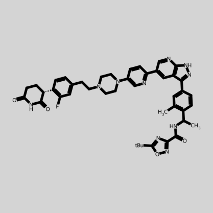 Cc1cc(-c2n[nH]c3ncc(-c4ccc(N5CCN(CCc6ccc([C@H]7CCC(=O)NC7=O)c(F)c6)CC5)cn4)cc23)ccc1C(C)NC(=O)c1noc(C(C)(C)C)n1